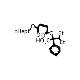 CCCCCCCOC(=O)/C=C\C(=O)OC(C(=O)O)(c1ccccc1)C(CC)CC